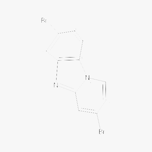 Brc1ccc2c(c1)nc1cc(Br)ccn12